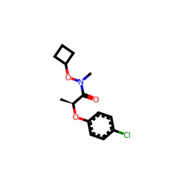 C[C@H](Oc1ccc(Cl)cc1)C(=O)N(C)OC1CCC1